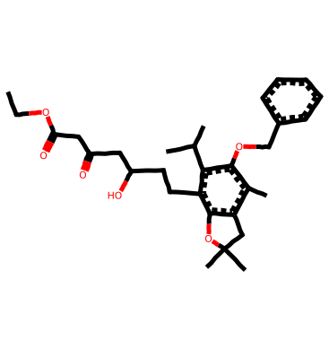 CCOC(=O)CC(=O)CC(O)CCc1c2c(c(C)c(OCc3ccccc3)c1C(C)C)CC(C)(C)O2